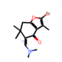 Cc1c(Br)oc2c1C(=O)/C(=C\N(C)C)C(C)(C)C2